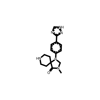 CN1CN(c2ccc(-c3nc[nH]n3)cc2)C2(CCNCC2)C1=O